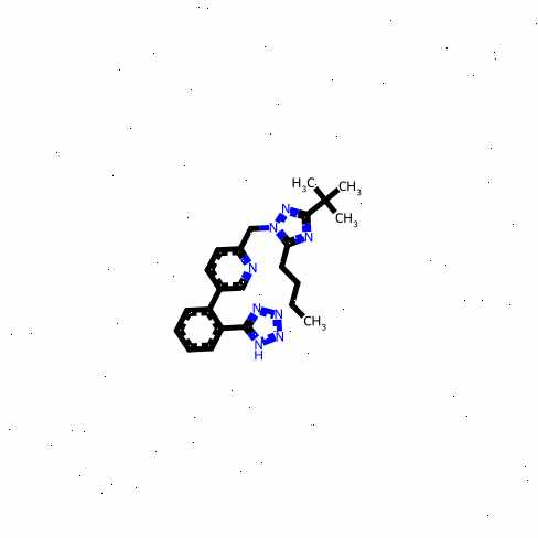 CCCCc1nc(C(C)(C)C)nn1Cc1ccc(-c2ccccc2-c2nnn[nH]2)cn1